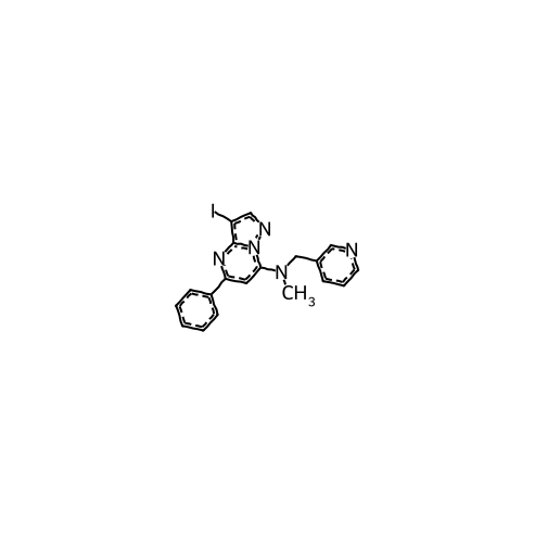 CN(Cc1cccnc1)c1cc(-c2ccccc2)nc2c(I)cnn12